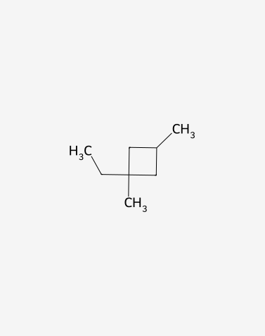 CCC1(C)CC(C)C1